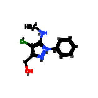 O=C(O)Nc1c(Cl)c(CO)nn1-c1ccccc1